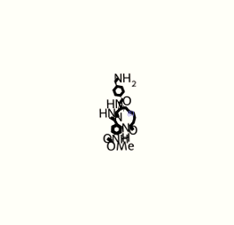 COC(=O)Nc1ccc2c(c1)NC(=O)CC/C=C/C[C@H](NC(=O)[C@H]1CC[C@H](CN)CC1)c1nc-2c[nH]1